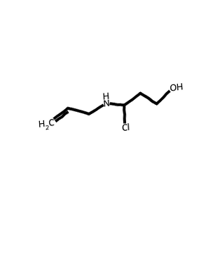 C=CCNC(Cl)CCO